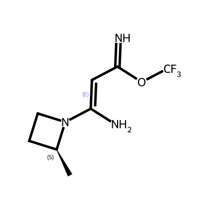 C[C@H]1CCN1/C(N)=C/C(=N)OC(F)(F)F